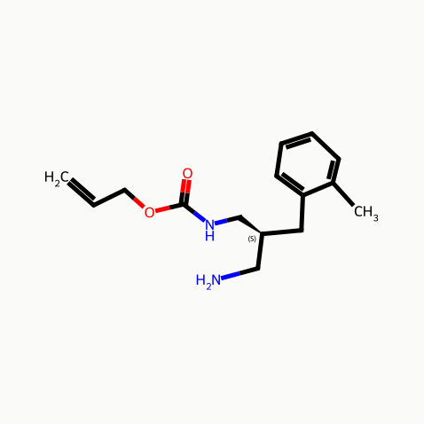 C=CCOC(=O)NC[C@H](CN)Cc1ccccc1C